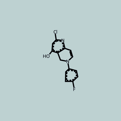 Oc1cc(Cl)nc2c1CN(c1ccc(F)cc1)C=C2